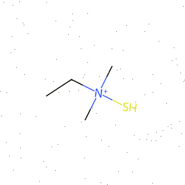 CC[N+](C)(C)S